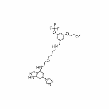 COCCOc1cc(CNCCCCOCCNc2cc(-n3cnnc3)cc3[nH]ncc23)cc(OC(F)(F)F)c1